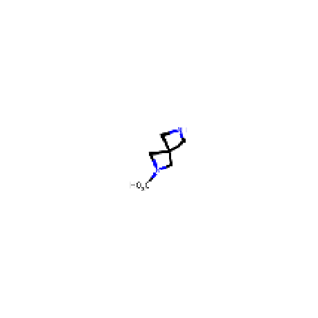 O=C(O)N1CC2(CNC2)C1